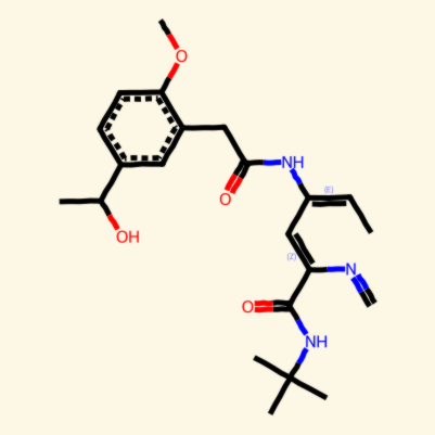 C=N/C(=C\C(=C/C)NC(=O)Cc1cc(C(C)O)ccc1OC)C(=O)NC(C)(C)C